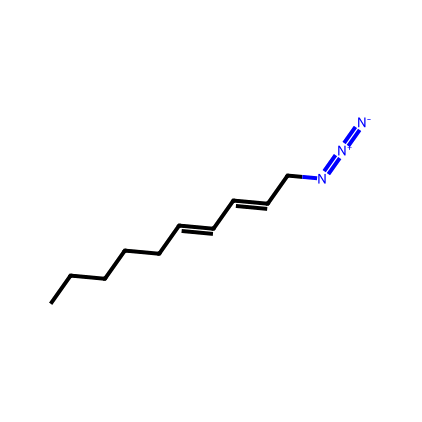 CCCCC/C=C/C=C/CN=[N+]=[N-]